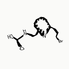 O=C(O)NCc1cccc(CBr)n1